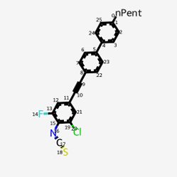 CCCCCc1ccc(-c2ccc(C#Cc3cc(F)c(N=C=S)c(Cl)c3)cc2)cc1